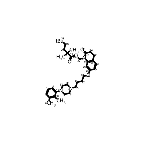 Cc1cccc(N2CCN(CCCCOc3ccc4c(c3)N(COC(=O)C(C)(C)CCC(C)(C)C)C(=O)CC4)CC2)c1C